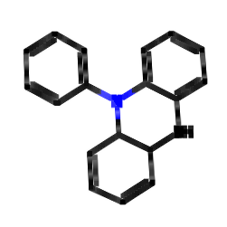 B1c2ccccc2N(c2ccccc2)C2C=CC=CC12